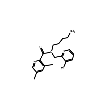 Cc1cnc(C(=O)N(CCCCN)Cc2ncccc2C(C)C)c(C)c1